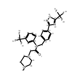 CN1CCN(CC(=O)N(Cc2ccc(-c3noc(C(F)(F)F)n3)cc2)c2cccc(C(F)(F)F)c2)CC1